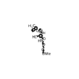 C#Cc1cc(Nc2nccc(Oc3ccc(C)c4ccccc34)n2)cc(C(=O)NCCOCCOCCOC)c1